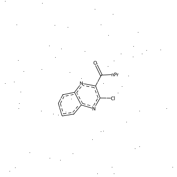 CCCC(=O)c1nc2ccccc2nc1Cl